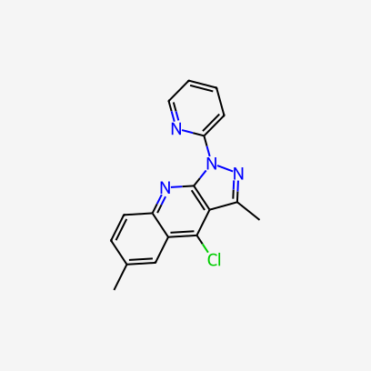 Cc1ccc2nc3c(c(C)nn3-c3ccccn3)c(Cl)c2c1